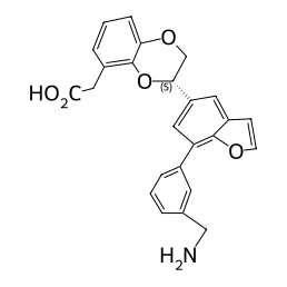 NCc1cccc(-c2cc([C@H]3COc4cccc(CC(=O)O)c4O3)cc3ccoc23)c1